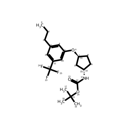 CCCc1cc(O[C@H]2CC[C@H](NC(=O)OC(C)(C)C)C2)cc(C(F)(F)F)c1